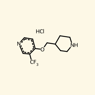 Cl.FC(F)(F)c1cnccc1OCC1CCNCC1